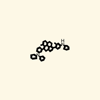 CC1=CCC2=C3C1=C(c1cccc(N(c4ccccc4)c4ccccc4)c1)Cc1ccc(-c4ccc(Nc5ccccc5)cc4C)c(c13)CC2